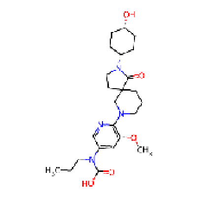 CCCN(C(=O)O)c1cnc(N2CCCC3(CCN([C@H]4CC[C@@H](O)CC4)C3=O)C2)c(OC)c1